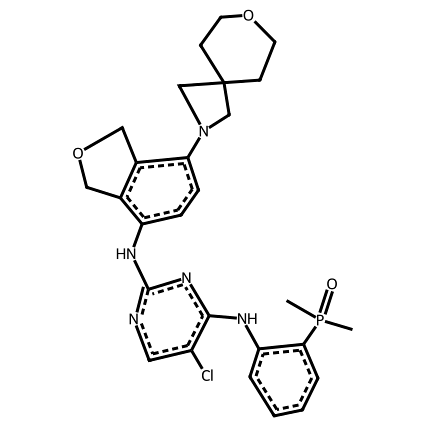 CP(C)(=O)c1ccccc1Nc1nc(Nc2ccc(N3CC4(CCOCC4)C3)c3c2COC3)ncc1Cl